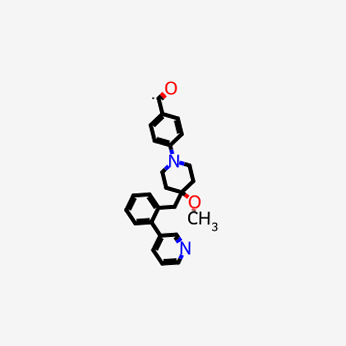 COC1(Cc2ccccc2-c2cccnc2)CCN(c2ccc([C]=O)cc2)CC1